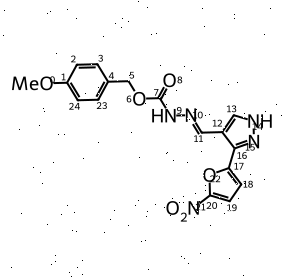 COc1ccc(COC(=O)NN=Cc2c[nH]nc2-c2ccc([N+](=O)[O-])o2)cc1